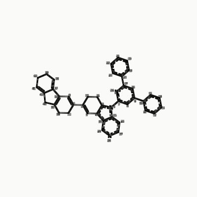 C1=C(C2=Cc3c(n(-c4cc(-c5ccccc5)cc(-c5ccccc5)n4)c4ccncc34)CC2)CCC2=C1C1=CCCC=C1C2